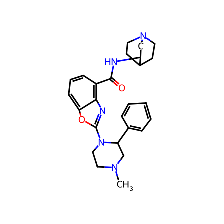 CN1CCN(c2nc3c(C(=O)NC4CN5CCC4CC5)cccc3o2)C(c2ccccc2)C1